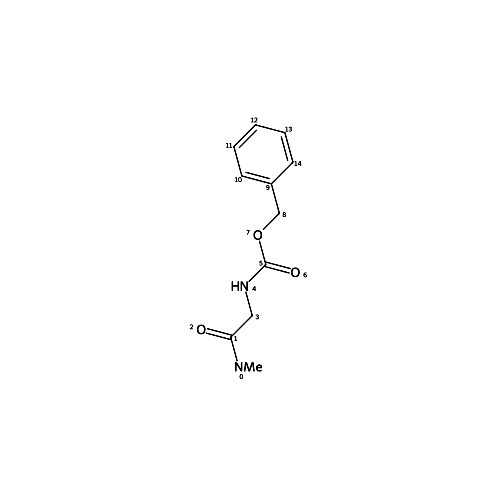 [CH2]NC(=O)CNC(=O)OCc1ccccc1